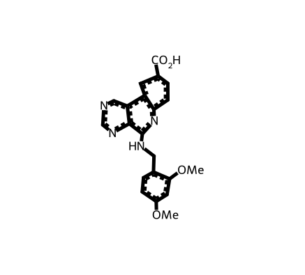 COc1ccc(CNc2nc3ccc(C(=O)O)cc3c3cncnc23)c(OC)c1